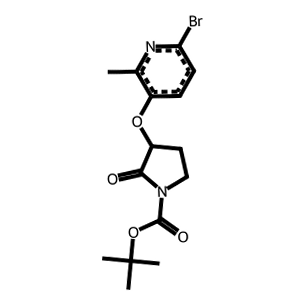 Cc1nc(Br)ccc1OC1CCN(C(=O)OC(C)(C)C)C1=O